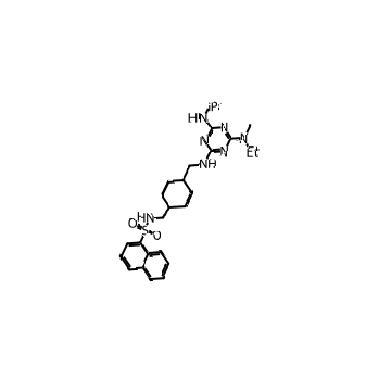 CCN(C)c1nc(NCC2CCC(CNS(=O)(=O)c3cccc4ccccc34)CC2)nc(NC(C)C)n1